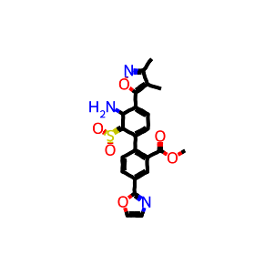 COC(=O)c1cc(-c2ncco2)ccc1C1=CC=C(c2onc(C)c2C)C(N)C1=S(=O)=O